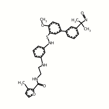 COc1ccc(-c2cccc(C(C)(C)N=O)c2)cc1SNc1cccc(NCCNC(=O)c2occc2C)c1